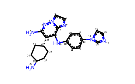 Nc1nn2ccnc2c(Nc2ccc(-n3ccnc3)cc2)c1[C@H]1CC[C@H](N)CC1